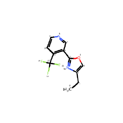 CCc1coc(-c2cnccc2C(F)(F)F)n1